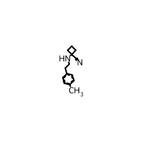 Cc1ccc(CCNC2(C#N)CCC2)cc1